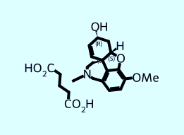 COc1ccc2c3c1O[C@H]1C[C@@H](O)C=C[C@@]31CCN(C)C2.O=C(O)CCCC(=O)O